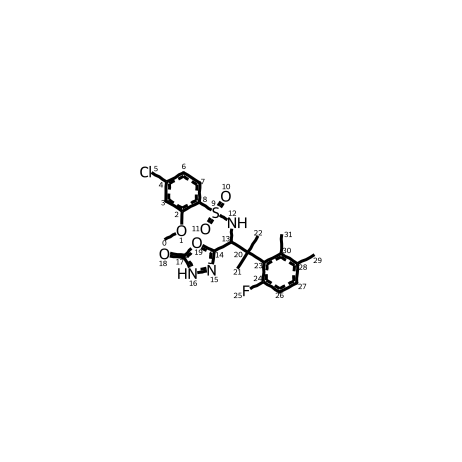 COc1cc(Cl)ccc1S(=O)(=O)NC(c1n[nH]c(=O)o1)C(C)(C)c1c(F)ccc(C)c1C